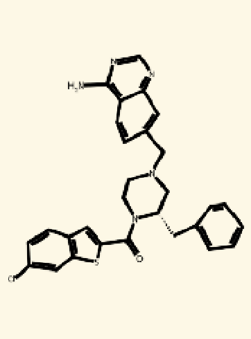 Nc1ncnc2cc(CN3CCN(C(=O)c4cc5ccc(Cl)cc5s4)[C@@H](Cc4ccccc4)C3)ccc12